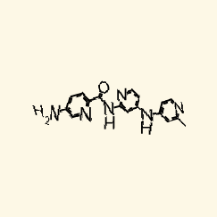 Cc1cc(Nc2ccnc(NC(=O)c3ccc(N)cn3)c2)ccn1